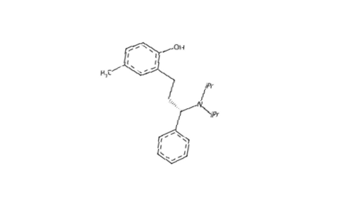 Cc1ccc(O)c(CC[C@@H](c2ccccc2)N(C(C)C)C(C)C)c1